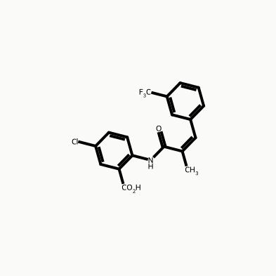 CC(=Cc1cccc(C(F)(F)F)c1)C(=O)Nc1ccc(Cl)cc1C(=O)O